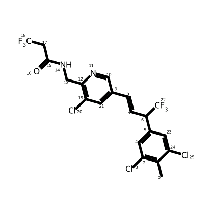 Cc1c(Cl)cc(C(/C=C/c2cnc(CNC(=O)CC(F)(F)F)c(Cl)c2)C(F)(F)F)cc1Cl